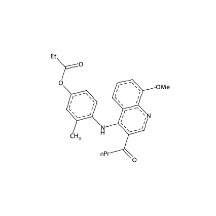 CCCC(=O)c1cnc2c(OC)cccc2c1Nc1ccc(OC(=O)CC)cc1C